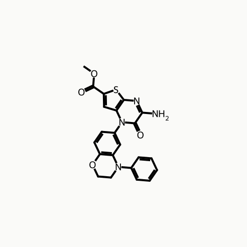 COC(=O)c1cc2c(nc(N)c(=O)n2-c2ccc3c(c2)N(c2ccccc2)CCO3)s1